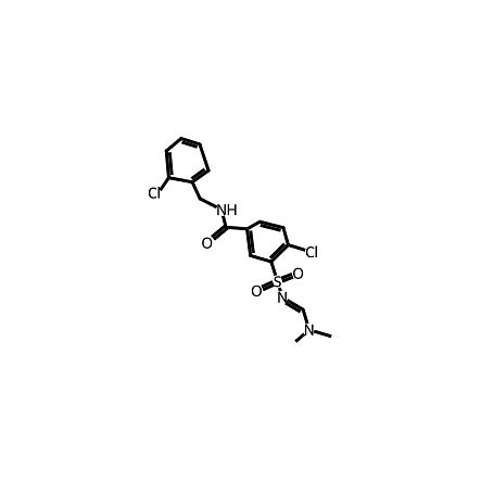 CN(C)C=NS(=O)(=O)c1cc(C(=O)NCc2ccccc2Cl)ccc1Cl